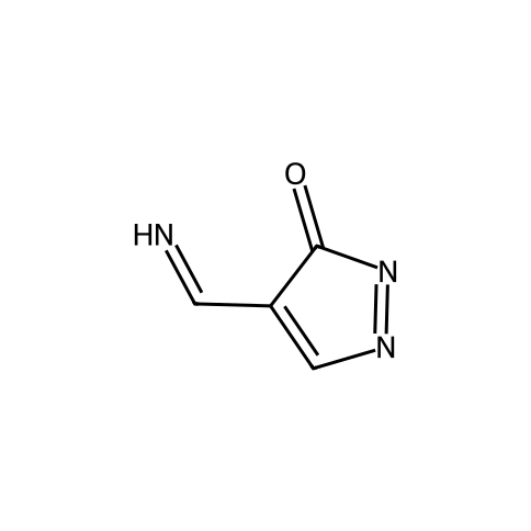 N=CC1=CN=NC1=O